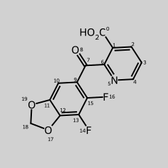 O=C(O)c1cccnc1C(=O)c1cc2c(c(F)c1F)OCO2